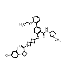 CCOc1ncccc1-c1ccc(OC2CC3(C2)CN(C(=O)C2CCC2c2ccc(Cl)cc2F)C3)c(C(=O)N[C@@H]2CCN(C)C2)n1